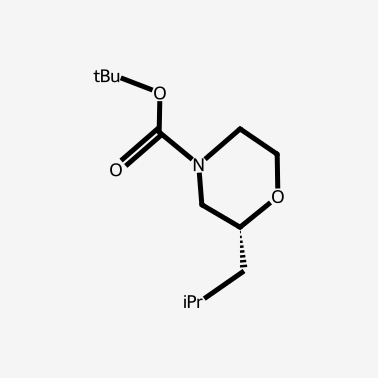 CC(C)C[C@@H]1CN(C(=O)OC(C)(C)C)CCO1